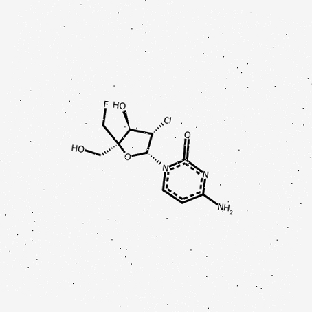 Nc1ccn([C@@H]2O[C@@](CO)(CF)[C@@H](O)[C@@H]2Cl)c(=O)n1